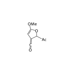 COC1=CC(=C=O)C(C(C)=O)O1